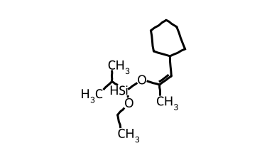 CCO[SiH](OC(C)=CC1CCCCC1)C(C)C